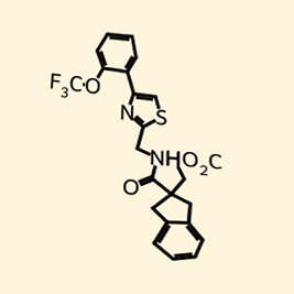 O=C(O)CC1(C(=O)NCc2nc(-c3ccccc3OC(F)(F)F)cs2)Cc2ccccc2C1